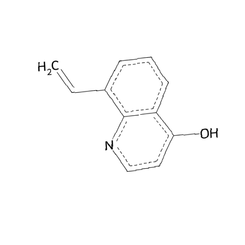 C=Cc1cccc2c(O)ccnc12